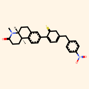 CN1C(=O)CC[C@]2(C)c3ccc(C4=CC=C(Cc5ccc([N+](=O)[O-])cc5)CC4=S)cc3CC[C@@H]12